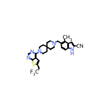 Cc1c(CN2CCC3(CC2)CCN(c2ncnc4sc(CC(F)(F)F)cc24)CC3)ccc2[nH]c(C#N)cc12